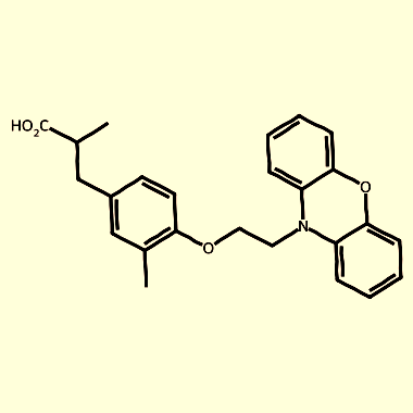 Cc1cc(CC(C)C(=O)O)ccc1OCCN1c2ccccc2Oc2ccccc21